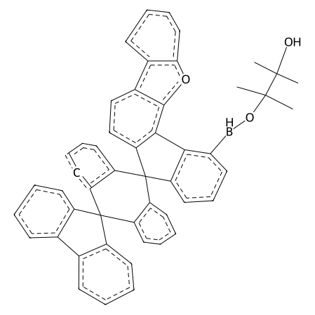 CC(C)(O)C(C)(C)OBc1cccc2c1-c1c(ccc3c1oc1ccccc13)C21c2ccccc2C2(c3ccccc3-c3ccccc32)c2ccccc21